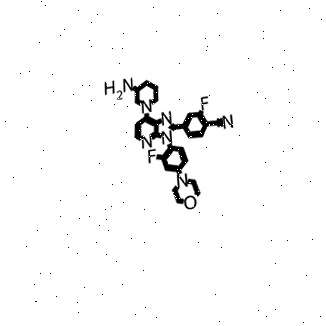 N#Cc1ccc(-c2nc3c(N4CCCC(N)C4)ccnc3n2-c2ccc(N3CCOCC3)cc2F)cc1F